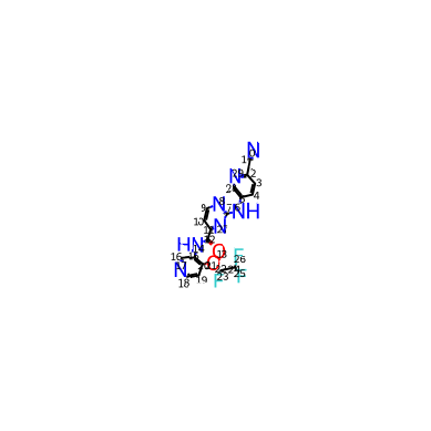 N#Cc1ccc(Nc2nccc(C(=O)Nc3cnccc3OC(F)C(F)F)n2)cn1